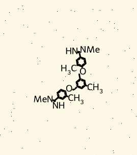 CNC(=N)c1ccc(OCc2cc(C)cc(COc3ccc(C(=N)NC)cc3C)c2)c(C)c1